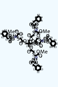 COC(=O)/C(=N/OS(=O)(=O)Cc1ccccc1)SCC(=O)OCC(COC(=O)CS/C(=N\OS(=O)(=O)Cc1ccccc1)C(=O)OC)(COC(=O)CS/C(=N\OS(=O)(=O)Cc1ccccc1)C(=O)OC)COC(=O)CS/C(=N\OS(=O)(=O)Cc1ccccc1)C(=O)OC